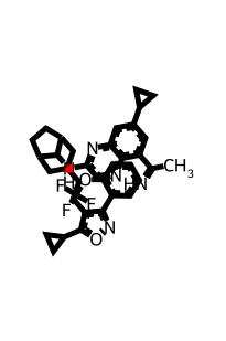 CC(=N)c1cc(C2CC2)cc2nc(NC3C4CCC3CC(CCc3c(-c5ccccc5OC(F)(F)F)noc3C3CC3)C4)cnc12